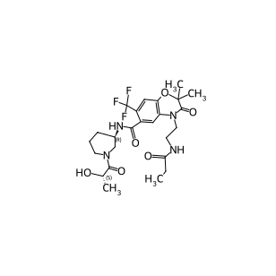 CCC(=O)NCCN1C(=O)C(C)(C)Oc2cc(C(F)(F)F)c(C(=O)N[C@@H]3CCCN(C(=O)[C@H](C)O)C3)cc21